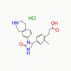 Cc1cc(C2CNC(=O)N2c2ccc3c(c2)CCNCC3)ccc1CCC(=O)O.Cl